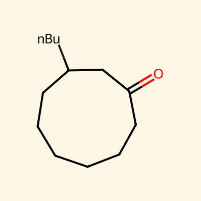 CCCCC1CCCCCCC(=O)C1